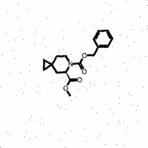 COC(=O)[C@H]1CC2(CCN1C(=O)OCc1ccccc1)CC2